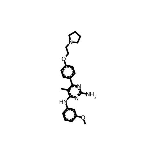 COc1cccc(Nc2nc(N)nc(-c3ccc(OCCN4CCCC4)cc3)c2C)c1